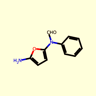 Nc1ccc(N(C=O)c2ccccc2)o1